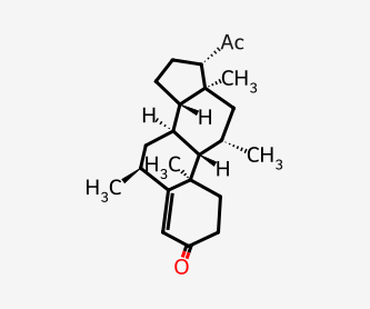 CC(=O)[C@H]1CC[C@H]2[C@@H]3C[C@H](C)C4=CC(=O)CC[C@]4(C)[C@H]3[C@@H](C)C[C@]12C